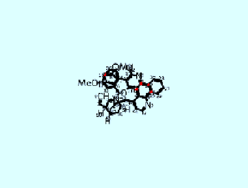 C=C[C@H]1C[N@+]2(Cc3cc(OC)cc(OC)c3)CC[C@H]1C[C@@H]2[C@@H](Oc1nc(-c2ccccc2)nc(Cl)c1-c1ccccc1)c1ccnc2ccccc12